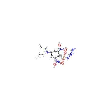 CCCN(CCC)c1cc([N+](=O)[O-])c(S(=O)(=O)N=[N+]=[N-])c([N+](=O)[O-])c1